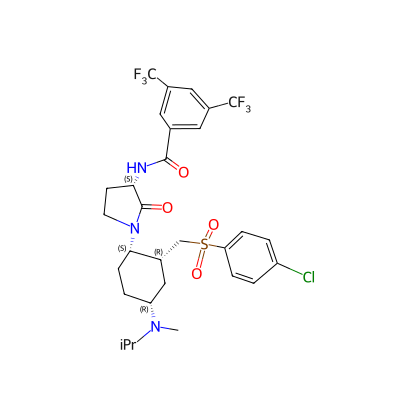 CC(C)N(C)[C@@H]1CC[C@H](N2CC[C@H](NC(=O)c3cc(C(F)(F)F)cc(C(F)(F)F)c3)C2=O)[C@H](CS(=O)(=O)c2ccc(Cl)cc2)C1